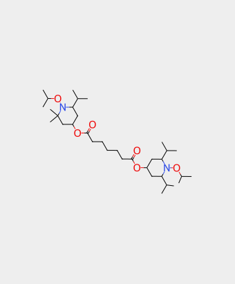 CC(C)ON1C(C(C)C)CC(OC(=O)CCCCCC(=O)OC2CC(C(C)C)N(OC(C)C)C(C)(C)C2)CC1C(C)C